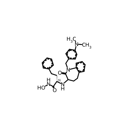 CN(C)c1ccc(CN2C(=O)C(N[C@@H](CCc3ccccc3)C(=O)NO)CCc3ccccc32)cc1